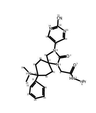 CCCNC(=O)CN1C(=O)N(c2cnc(C#N)nc2)CC12CCC(c1ccccc1)(N(C)C)CC2